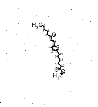 CCCCCC(=O)/C=C/c1ccc(CCCCCC(=O)OC)s1